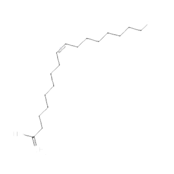 C=C(O)CCCCCCC/C=C\CCCCCCCC